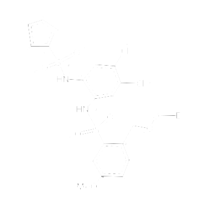 CCOOCc1ccc(OC)cc1S(=O)(=O)Nc1cc(Cl)c(Cl)cc1NS(=O)(=O)c1cccs1